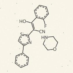 C1COCCN1.N#CC(=C(O)c1ccccc1F)c1nc(-c2ccccc2)cs1